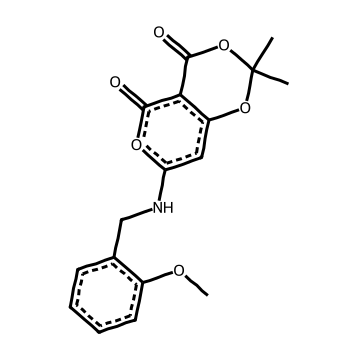 COc1ccccc1CNc1cc2c(c(=O)o1)C(=O)OC(C)(C)O2